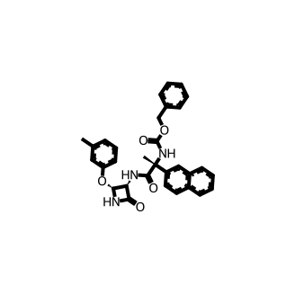 Cc1cccc(O[C@H]2NC(=O)[C@H]2NC(=O)[C@](C)(NC(=O)OCc2ccccc2)c2ccc3ccccc3c2)c1